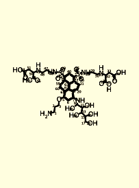 NCCCOc1cc(NC(O)C(O)C(O)C(O)CO)c2ccc3c(S(=O)(=O)NCCCNC(CC(=O)O)C(=O)O)cc(S(=O)(=O)NCCCNC(CC(=O)O)C(=O)O)c4ccc1c2c34